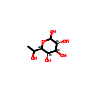 CC(O)[C@H]1OC(O)[C@H](O)[C@@H](O)[C@@H]1O